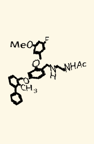 COc1cc(F)cc(COc2cc(OCc3cccc(-c4ccccc4)c3C)ccc2CNCCNC(C)=O)c1